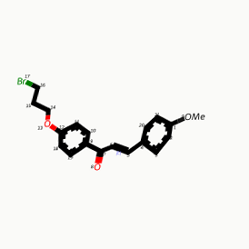 COc1ccc(/C=C/C(=O)c2ccc(OCCCBr)cc2)cc1